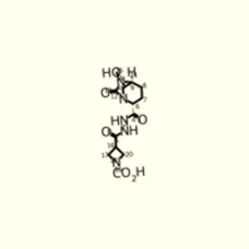 O=C(NNC(=O)[C@H]1CC[C@H]2CN1C(=O)N2O)C1CN(C(=O)O)C1